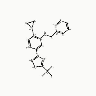 CC(C)(C)c1nc(-c2cc(OCc3ccccn3)c(C3CC3)cn2)no1